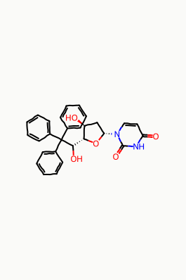 O=c1ccn([C@H]2C[C@H](O)[C@@H](C(O)C(c3ccccc3)(c3ccccc3)c3ccccc3)O2)c(=O)[nH]1